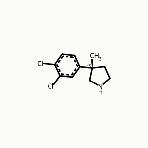 C[C@@]1(c2ccc(Cl)c(Cl)c2)CCNC1